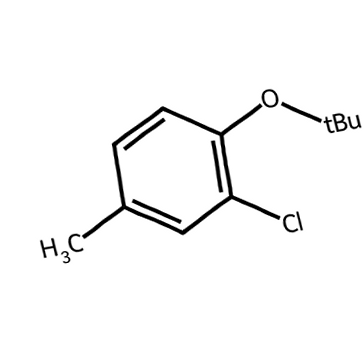 Cc1ccc(OC(C)(C)C)c(Cl)c1